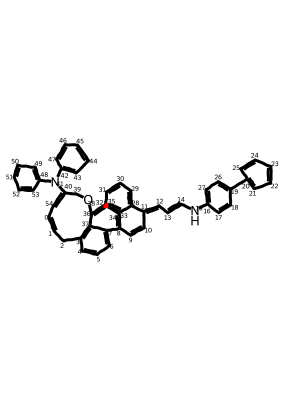 C1=C\Cc2cccc3c(\C=C/C(=C\C=C\Nc4ccc(-c5ccccc5)cc4)c4ccccc4)ccc(c23)OC\C(N(c2ccccc2)c2ccccc2)=C/1